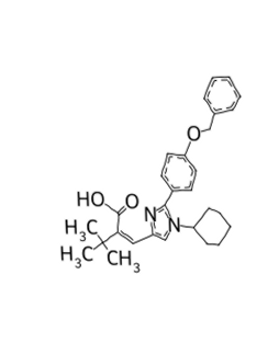 CC(C)(C)C(=Cc1cn(C2CCCCC2)c(-c2ccc(OCc3ccccc3)cc2)n1)C(=O)O